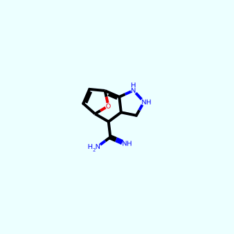 N=C(N)C1C2C=CC(=C3NNCC31)O2